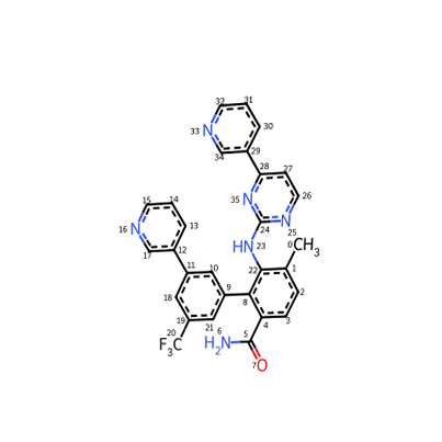 Cc1ccc(C(N)=O)c(-c2cc(-c3cccnc3)cc(C(F)(F)F)c2)c1Nc1nccc(-c2cccnc2)n1